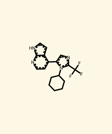 FC(F)(F)c1ncc(-c2ccnc3[nH]ccc23)n1C1CCCCC1